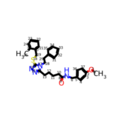 COc1ccc(CNC(=O)CCCCc2nnc(SCc3ccccc3C)n2CCc2ccccc2)cc1